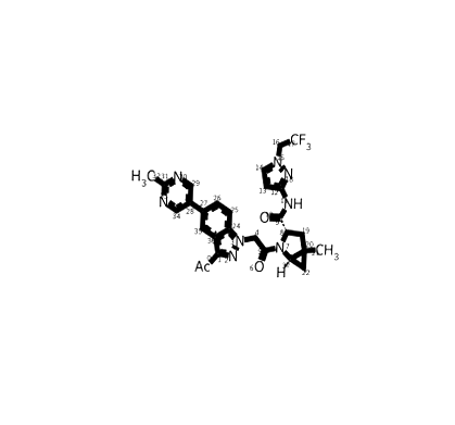 CC(=O)c1nn(CC(=O)N2[C@H](C(=O)Nc3ccn(CC(F)(F)F)n3)CC3(C)C[C@@H]23)c2ccc(-c3cnc(C)nc3)cc12